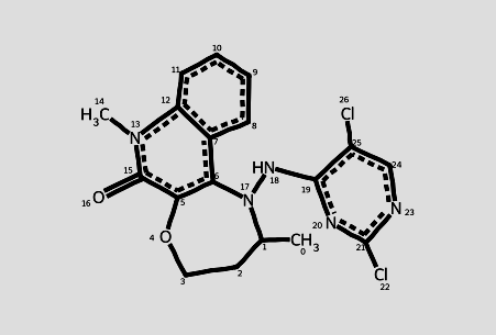 CC1CCOc2c(c3ccccc3n(C)c2=O)N1Nc1nc(Cl)ncc1Cl